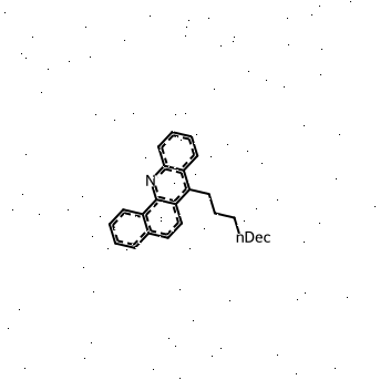 CCCCCCCCCCCCCc1c2ccccc2nc2c1ccc1ccccc12